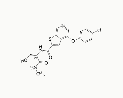 CNC(=O)[C@@H](CO)NC(=O)c1cc2c(Oc3ccc(Cl)cc3)cncc2s1